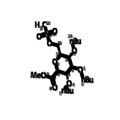 CCCCOC1[C@H](OCCCC)C(C(=O)OC)O[C@@H](COS(C)(=O)=O)[C@H]1OCCCC